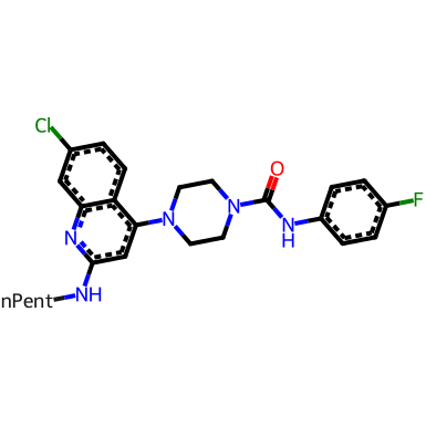 CCCCCNc1cc(N2CCN(C(=O)Nc3ccc(F)cc3)CC2)c2ccc(Cl)cc2n1